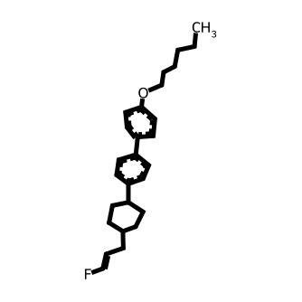 CCCCCCOc1ccc(-c2ccc(C3CCC(CC=CF)CC3)cc2)cc1